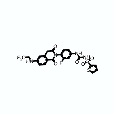 O=C(Nc1ccc(N2C(=O)Cc3cc(NCC(F)(F)F)ccc3C2=O)c(F)c1)NS(=O)(=O)c1cccs1